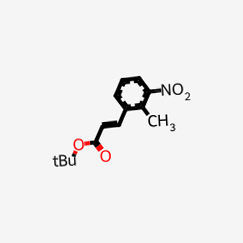 Cc1c(/C=C/C(=O)OC(C)(C)C)cccc1[N+](=O)[O-]